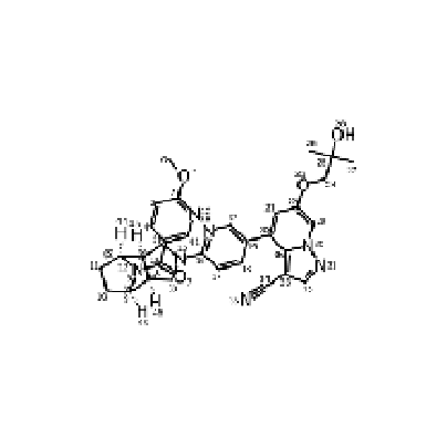 COc1ccc(C(=O)N2[C@@H]3CC[C@H]2[C@H]2CN(c4ccc(-c5cc(OCC(C)(C)O)cn6ncc(C#N)c56)cn4)C[C@H]23)cn1